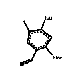 C=Cc1cc(C)c(C(C)(C)C)cc1NC